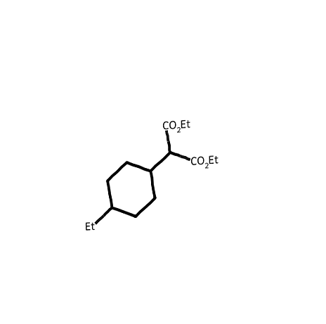 CCOC(=O)C(C(=O)OCC)C1CCC(CC)CC1